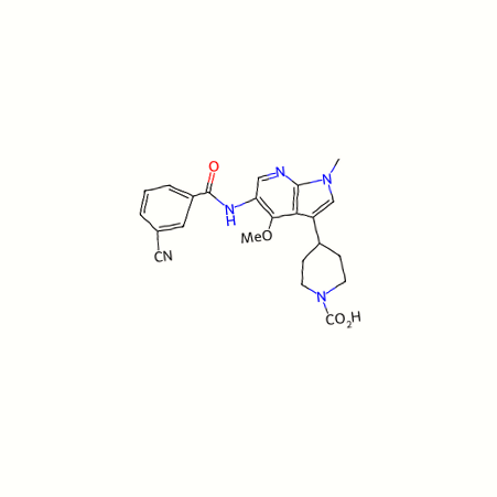 COc1c(NC(=O)c2cccc(C#N)c2)cnc2c1c(C1CCN(C(=O)O)CC1)cn2C